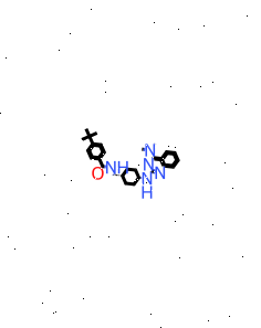 CN(C)c1nc(N[C@H]2CC[C@@H](CNC(=O)c3ccc(C(C)(C)C)cc3)CC2)nc2ccccc12